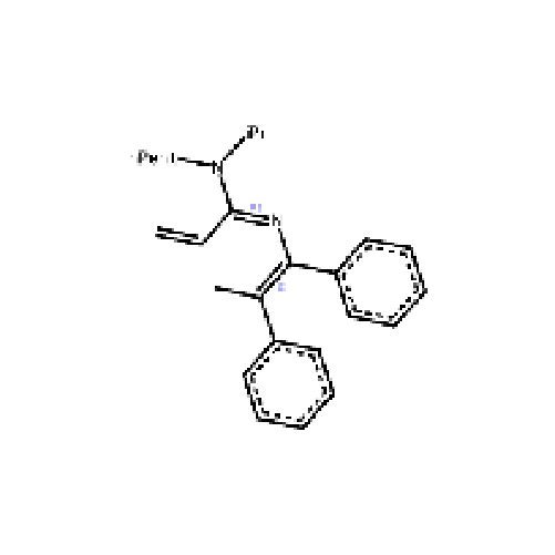 C=C/C(=N\C(=C(/C)c1ccccc1)c1ccccc1)N(CCCCC)C(C)C